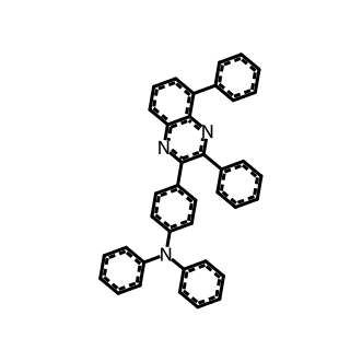 c1ccc(-c2nc3c(-c4ccccc4)cccc3nc2-c2ccc(N(c3ccccc3)c3ccccc3)cc2)cc1